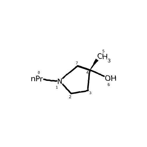 CCCN1CC[C@@](C)(O)C1